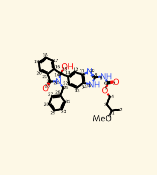 COC(C)CCOC(=O)Nc1nc2cc(C3(O)c4ccccc4C(=O)N3Cc3ccccc3)ccc2[nH]1